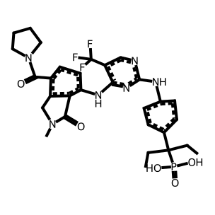 CCC(CC)(c1ccc(Nc2ncc(C(F)(F)F)c(Nc3ccc(C(=O)N4CCCC4)c4c3C(=O)N(C)C4)n2)cc1)P(=O)(O)O